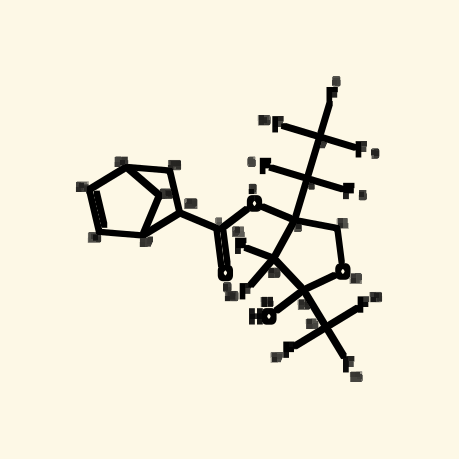 O=C(OC1(C(F)(F)C(F)(F)F)COC(O)(C(F)(F)F)C1(F)F)C1CC2C=CC1C2